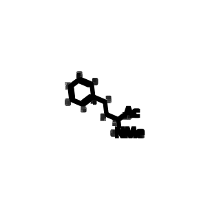 CNC(CCc1ccccc1)C(C)=O